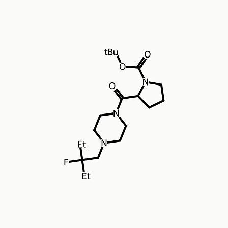 CCC(F)(CC)CN1CCN(C(=O)C2CCCN2C(=O)OC(C)(C)C)CC1